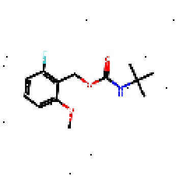 COc1cccc(F)c1COC(=O)NC(C)(C)C